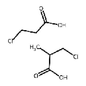 CC(CCl)C(=O)O.O=C(O)CCCl